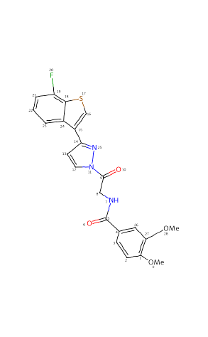 COc1ccc(C(=O)NCC(=O)n2ccc(-c3csc4c(F)cccc34)n2)cc1OC